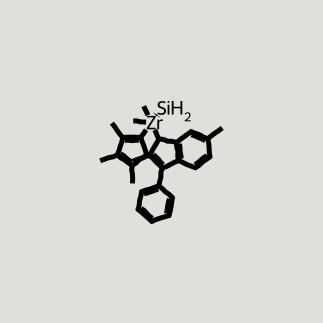 CC1=C(C)C(C)[C]([Zr]([CH3])([CH3])(=[SiH2])[CH]2C(C)=C(c3ccccc3)c3ccc(C)cc32)=C1C